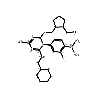 CCN1CCCC1CNC1N=C(N)N=C(NCC2CCCCC2)N1c1ccc(N(C)C)c(F)c1